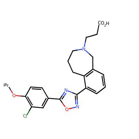 CC(C)Oc1ccc(-c2nc(-c3cccc4c3CCCN(CCC(=O)O)C4)no2)cc1Cl